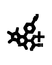 Cc1nc2c(c(C)c(C)n2C)c(-c2ccc(C#N)cc2)c1C(OC(C)(C)C)C(=O)O